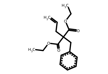 C=CCC(Cc1ccccc1)(C(=O)OCC)C(=O)OCC